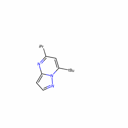 CC(C)c1cc(C(C)(C)C)n2nccc2n1